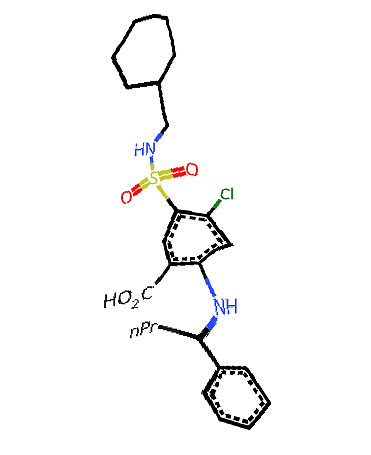 CCCC(Nc1cc(Cl)c(S(=O)(=O)NCC2CCCCC2)cc1C(=O)O)c1ccccc1